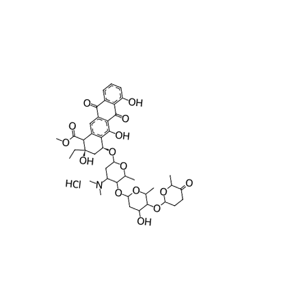 CC[C@@]1(O)C[C@H](OC2CC(N(C)C)C(OC3CC(O)C(OC4CCC(=O)C(C)O4)C(C)O3)C(C)O2)c2c(cc3c(c2O)C(=O)c2c(O)cccc2C3=O)C1C(=O)OC.Cl